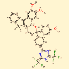 COc1ccc(C2(c3ccc(-c4nc(C(F)(F)F)nc(C(F)(F)F)n4)cc3)C=Cc3c4c(c5cc(OC)c(OC)cc5c3O2)-c2ccccc2C4(C)C)cc1